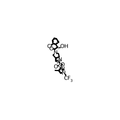 Cc1cn(CC(F)(F)F)nc1S(=O)(=O)n1cc2c(n1)CN(C(=O)[C@@H](CO)c1ccccc1Cl)C2